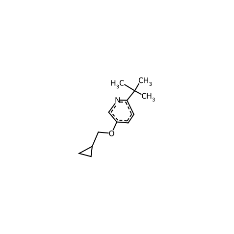 CC(C)(C)c1ccc(OCC2CC2)cn1